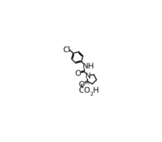 O=C(O)O[C@@H]1CCCN1C(=O)Nc1ccc(Cl)cc1